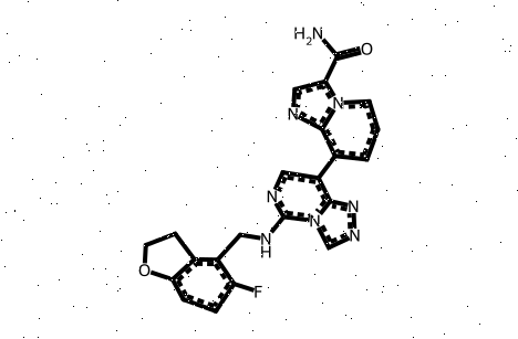 NC(=O)c1cnc2c(-c3cnc(NCc4c(F)ccc5c4CCO5)n4cnnc34)cccn12